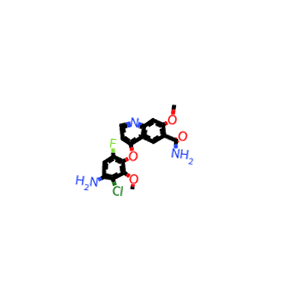 COc1cc2nccc(Oc3c(F)cc(N)c(Cl)c3OC)c2cc1C(N)=O